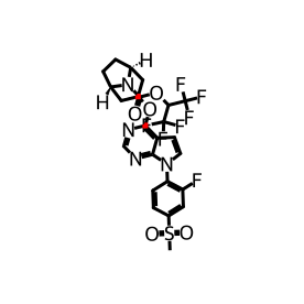 CS(=O)(=O)c1ccc(-n2ccc3c(OC4C[C@@H]5CC[C@@H](C4)N5C(=O)OC(C(F)(F)F)C(F)(F)F)ncnc32)c(F)c1